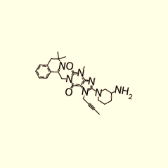 CC#CCn1c(N2CCCC(N)C2)nc2c1c(=O)n(CC1=NC(C)(C)Cc3ccccc31)c(=O)n2C